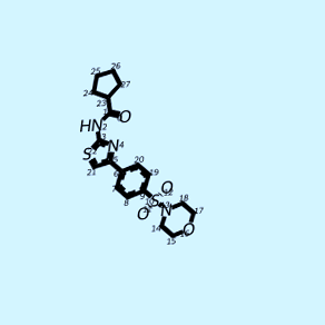 O=C(Nc1nc(-c2ccc(S(=O)(=O)N3CCOCC3)cc2)cs1)C1CCCC1